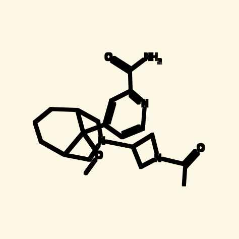 COC1(c2ccnc(C(N)=O)c2)C2CCCC1CN(C1CN(C(C)=O)C1)C2